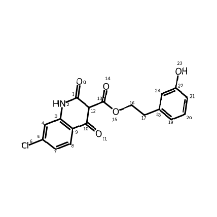 O=C1Nc2cc(Cl)ccc2C(=O)C1C(=O)OCCc1cccc(O)c1